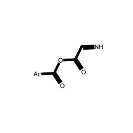 CC(=O)C(=O)OC(=O)C=N